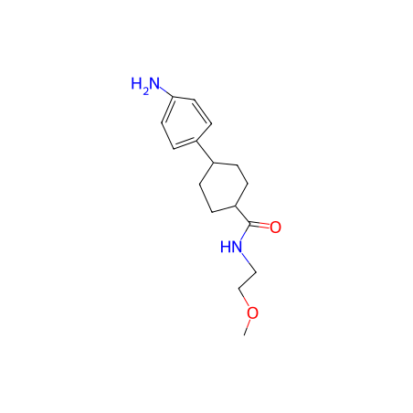 COCCNC(=O)C1CCC(c2ccc(N)cc2)CC1